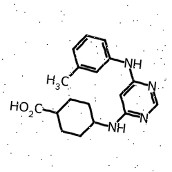 Cc1cccc(Nc2cc(NC3CCC(C(=O)O)CC3)ncn2)c1